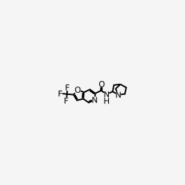 O=C(NC1CC2CCN1C2)c1cc2oc(C(F)(F)F)cc2cn1